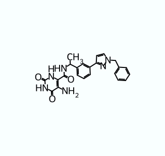 CC(NC(=O)c1[nH]c(=O)[nH]c(=O)c1N)c1cccc(-c2ccn(Cc3ccccc3)n2)c1